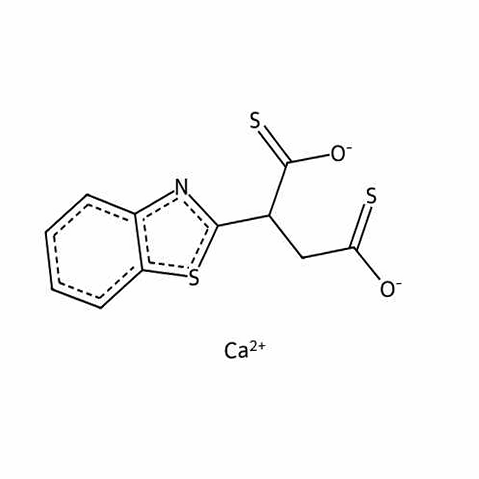 [Ca+2].[O-]C(=S)CC(C([O-])=S)c1nc2ccccc2s1